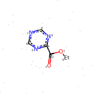 CCOC(=O)c1n[c]ncn1